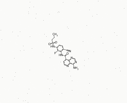 CCCS(=O)(=O)Nc1ccc(C#N)c(NC(=O)c2ccnc3c(N)ncnc23)c1F